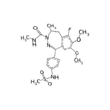 CNC(=O)N1N=C(c2ccc(NS(C)(=O)=O)cc2)c2cc(OC)c(OC)c(F)c2CC1C